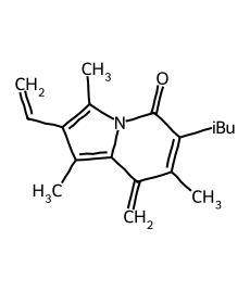 C=Cc1c(C)c2c(=C)c(C)c(C(C)CC)c(=O)n2c1C